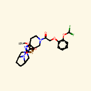 CC(C)(C)OC(=O)N1CC2CCC(C1)N2c1nc2c(s1)CN(C(=O)COc1ccccc1OC(F)F)CC2